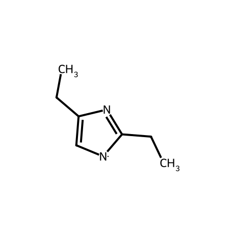 CCC1=C[N]C(CC)=N1